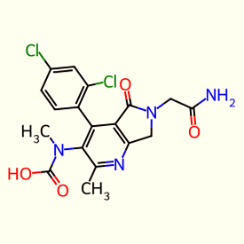 Cc1nc2c(c(-c3ccc(Cl)cc3Cl)c1N(C)C(=O)O)C(=O)N(CC(N)=O)C2